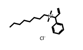 C=CC(c1ccccc1)[N+](C)(C)CCCCCCCC.[Cl-]